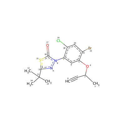 C#CC(C)Oc1cc(-n2nc(C(C)(C)C)sc2=O)c(Cl)cc1Br